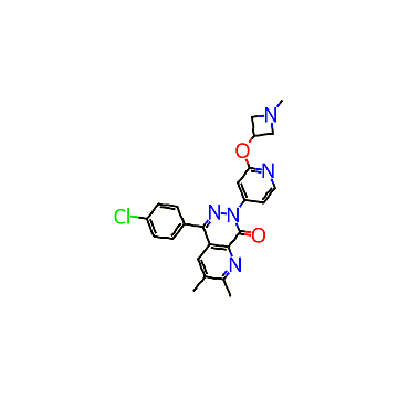 Cc1cc2c(-c3ccc(Cl)cc3)nn(-c3ccnc(OC4CN(C)C4)c3)c(=O)c2nc1C